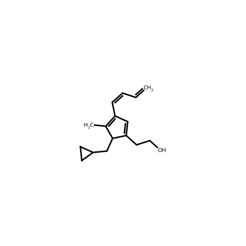 C=C/C=C\C1=C(C)C(CC2CC2)C(CCO)=C1